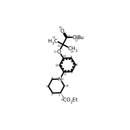 CCOC(=O)[C@@H]1CCCN(c2cccc(OC(C)(C)C(=O)OCC(C)C)c2)C1